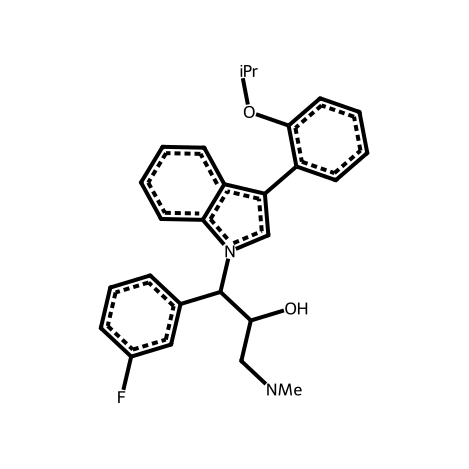 CNCC(O)C(c1cccc(F)c1)n1cc(-c2ccccc2OC(C)C)c2ccccc21